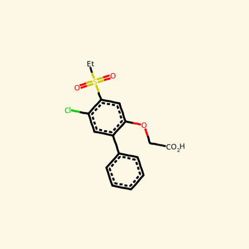 CCS(=O)(=O)c1cc(OCC(=O)O)c(-c2ccccc2)cc1Cl